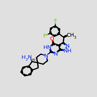 C=C(c1cc(F)cc(F)c1)c1n[nH]c2nc(N3CCC4(CC3)Cc3ccccc3[C@H]4N)[nH]c(=O)c12